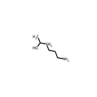 CC(O)[SiH2]CCCN